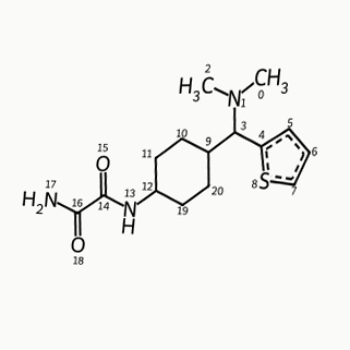 CN(C)C(c1cccs1)C1CCC(NC(=O)C(N)=O)CC1